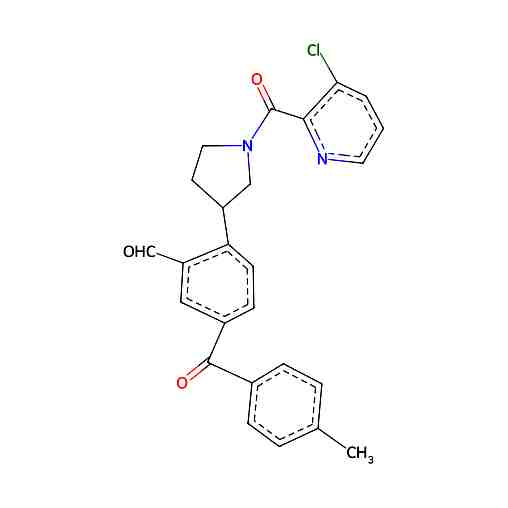 Cc1ccc(C(=O)c2ccc(C3CCN(C(=O)c4ncccc4Cl)C3)c(C=O)c2)cc1